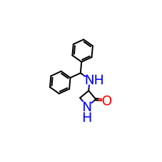 O=C1NCC1NC(c1ccccc1)c1ccccc1